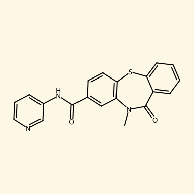 CN1C(=O)c2ccccc2Sc2ccc(C(=O)Nc3cccnc3)cc21